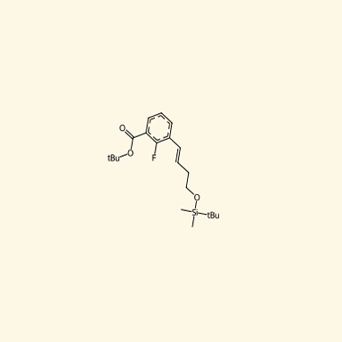 CC(C)(C)OC(=O)c1cccc(C=CCCO[Si](C)(C)C(C)(C)C)c1F